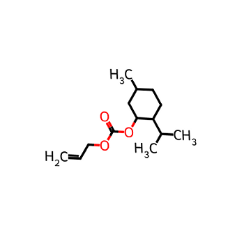 C=CCOC(=O)OC1CC(C)CCC1C(C)C